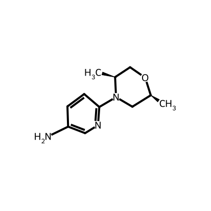 C[C@H]1CN(c2ccc(N)cn2)[C@@H](C)CO1